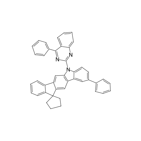 c1ccc(-c2ccc3c(c2)c2cc4c(cc2n3-c2nc(-c3ccccc3)c3ccccc3n2)-c2ccccc2C42CCCC2)cc1